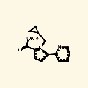 COC(=O)c1ccc(-c2ccccn2)n1CC1CC1